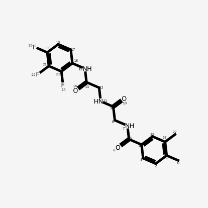 Cc1ccc(C(=O)NCC(=O)NCC(=O)Nc2ccc(F)c(F)c2F)cc1C